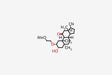 COCCO[C@H]1C[C@]2(C)[C@H]3C(=O)C[C@]4(C)[C@@H](C#N)CC[C@H]4[C@@H]3CC[C@@]2(C)C[C@@H]1O